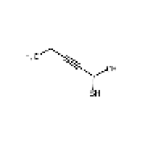 CCC#CC(C)S